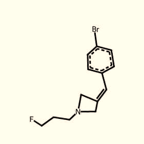 FCCCN1CC(=Cc2ccc(Br)cc2)C1